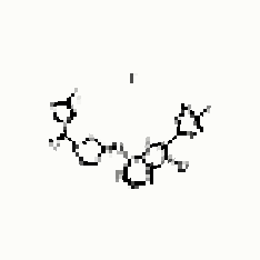 CCn1c(-c2cnc(C)nc2)nc2c(O[C@H]3CCN(C(=O)n4cc[n+](C)c4)C3)ncnc21.[I-]